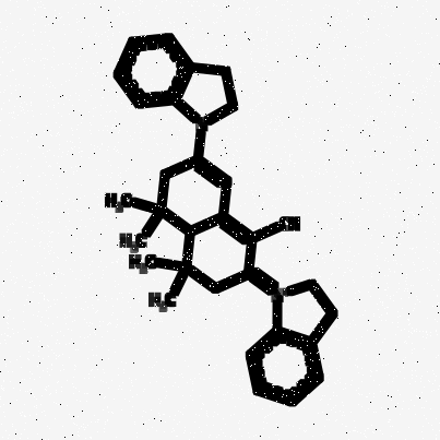 CC1(C)CC(N2CCc3ccccc32)=CC2=C(C#N)/C(=[N+]3\CCc4ccccc43)CC(C)(C)C21